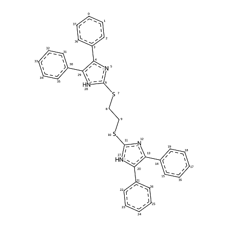 c1ccc(-c2nc(SCCSc3nc(-c4ccccc4)c(-c4ccccc4)[nH]3)[nH]c2-c2ccccc2)cc1